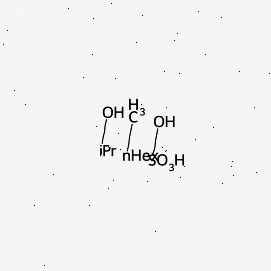 CC(C)O.CCCCCCC.O=S(=O)(O)O